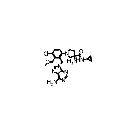 COCc1c(Cl)ccc(N2CCC(N)(C(=O)NC3CC3)C2)c1Cn1cnc2c(N)ncnc21